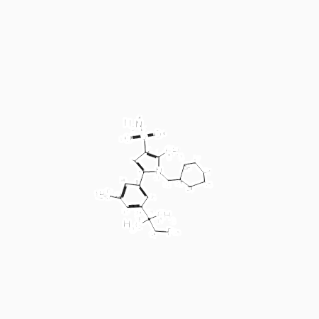 Cc1c(S(N)(=O)=O)cc(-c2cc(C(C)(C)C)cc(C(C)(C)CF)c2)n1CC1CCCCC1